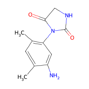 Cc1cc(C)c(N2C(=O)CNC2=O)cc1N